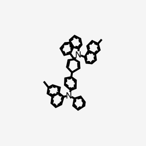 Cc1ccc2c(N(c3ccccc3)c3ccc(C4C=CC(c5ccccc5)(N(c5ccccc5)c5cccc6cc(C)ccc56)C=C4)cc3)cccc2c1